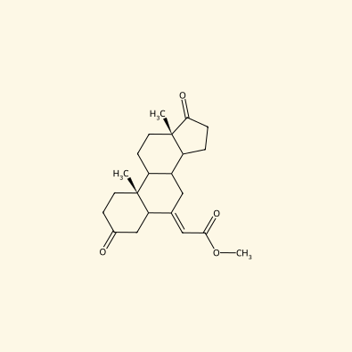 COC(=O)/C=C1\CC2C(CC[C@]3(C)C(=O)CCC23)[C@@]2(C)CCC(=O)CC12